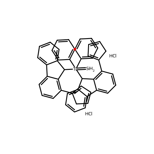 Cl.Cl.[SiH2]=[Ti]([c]1ccccc1)([c]1ccccc1)([CH]1c2ccccc2-c2cccc(C3=CC=CC3)c21)[CH]1c2ccccc2-c2cccc(C3=CC=CC3)c21